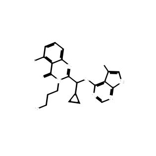 NCCCn1c(C(Nc2ncnc3[nH]cc(Br)c23)C2CC2)nc2cccc(Cl)c2c1=O